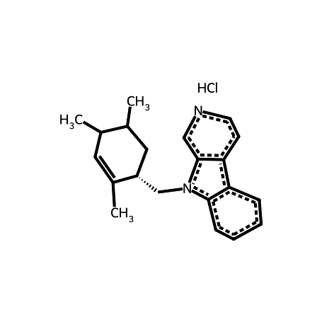 CC1=CC(C)C(C)C[C@@H]1Cn1c2ccccc2c2ccncc21.Cl